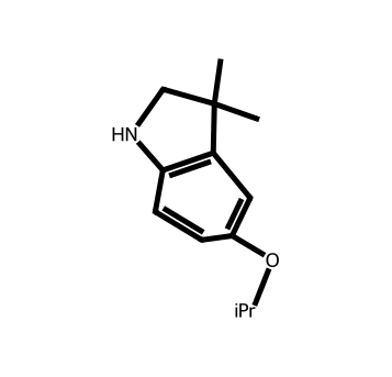 CC(C)Oc1ccc2c(c1)C(C)(C)CN2